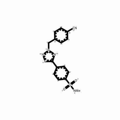 CNS(=O)(=O)c1ccc(-c2nnn(Cc3ccc(C#N)cc3)n2)cc1